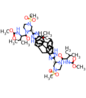 COC(=O)NC(C(=O)N1CCN(S(C)(=O)=O)C[C@H]1c1nc2cc(-c3cc4ccc3CCc3ccc(c(-c5ccc6[nH]c([C@@H]7CN(S(C)(=O)=O)CCN7C(=O)C(NC(=O)OC)C(C)C)nc6c5)c3)C[C@H]4C)ccc2[nH]1)C(C)C